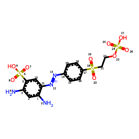 Nc1cc(N)c(S(=O)(=O)O)cc1/N=N/c1ccc(S(=O)(=O)CCOS(=O)(=O)O)cc1